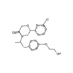 CC(Cc1ccc(OCCO)cc1)N1CC(c2cccc(Cl)n2)OCC1=O